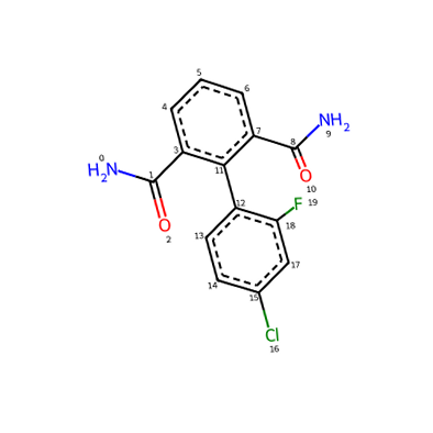 NC(=O)c1cccc(C(N)=O)c1-c1ccc(Cl)cc1F